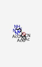 CC(=O)OC[C@@]1(C#N)O[C@@H](c2ccc3c(N)ncnn23)[C@H](OC(C)=O)[C@@H]1OC(C)=O